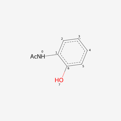 CC(=O)Nc1c[c]ccc1O